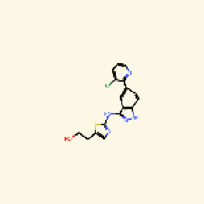 OCCc1cnc(Nc2n[nH]c3ccc(-c4ncccc4Cl)cc23)s1